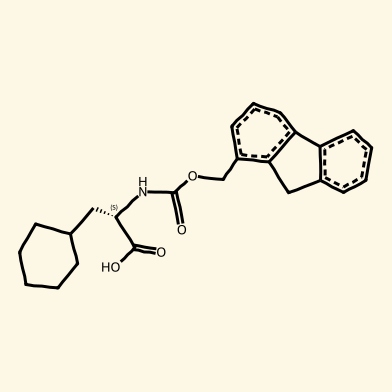 O=C(N[C@@H](CC1CCCCC1)C(=O)O)OCc1cccc2c1Cc1ccccc1-2